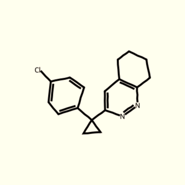 Clc1ccc(C2(c3cc4c(nn3)CCCC4)CC2)cc1